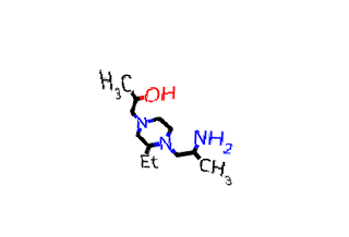 CCC1CN(CC(C)O)CCN1CC(C)N